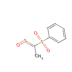 CC(=S=O)S(=O)(=O)c1[c]cccc1